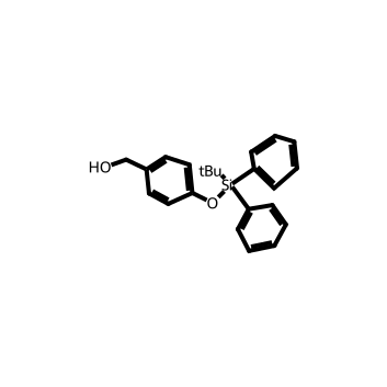 CC(C)(C)[Si](Oc1ccc(CO)cc1)(c1ccccc1)c1ccccc1